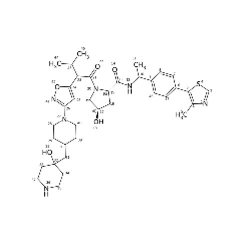 Cc1ncsc1-c1ccc(C(C)NC(=O)[C@@H]2C[C@@H](O)CN2C(=O)C(c2cc(N3CCC(CC4(O)CCNCC4)CC3)no2)C(C)C)cc1